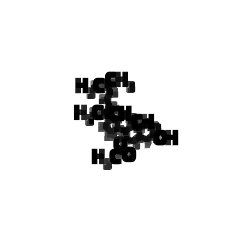 CC(=O)OC1C=C2CC(O)CCC2(C)C2CCC3(C)C(C(C)CCCC(C)C)CCC3C12